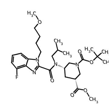 COCCCCn1c(C(=O)N(CC(C)C)[C@H]2C[C@@H](C(=O)OC)CN(C(=O)OC(C)(C)C)C2)nc2c(F)cccc21